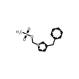 CS(=O)(=O)OCn1ccc(Cc2ccccc2)c1